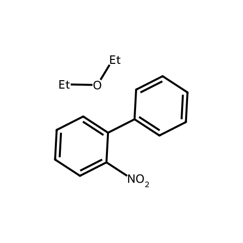 CCOCC.O=[N+]([O-])c1ccccc1-c1ccccc1